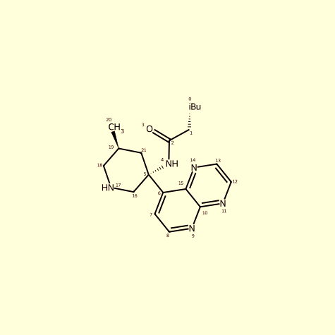 CC[C@@H](C)CC(=O)N[C@]1(c2ccnc3nccnc23)CNC[C@@H](C)C1